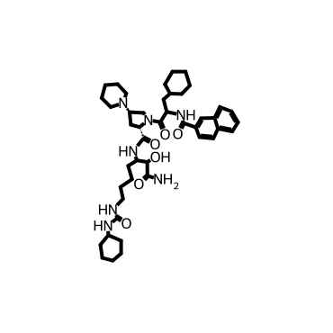 NC(=O)C(O)C(CCCCNC(=O)NC1CCCCC1)NC(=O)[C@@H]1C[C@@H](N2CCCCC2)CN1C(=O)C(CC1CCCCC1)NC(=O)c1ccc2ccccc2c1